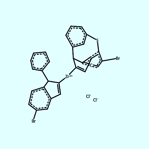 Brc1ccc2c(c1)C=[C]([Zr+2][C]1=Cc3c4ccc(Br)c3Sc3cccc(c3)C14)C2c1ccccc1.[Cl-].[Cl-]